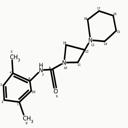 Cc1ccc(C)c(NC(=O)N2CC(N3CCCCC3)C2)c1